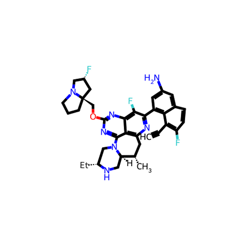 C#Cc1c(F)ccc2cc(N)cc(-c3nc4c5c(nc(OC[C@@]67CCCN6C[C@H](F)C7)nc5c3F)N3C[C@@H](CC)NC[C@@H]3[C@@H](C)C4)c12